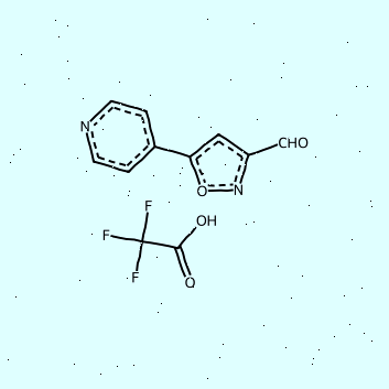 O=C(O)C(F)(F)F.O=Cc1cc(-c2ccncc2)on1